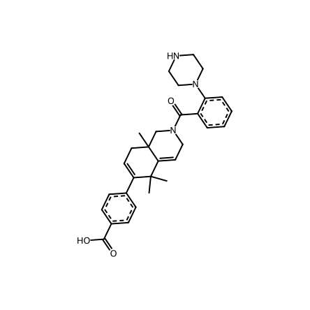 CC12CC=C(c3ccc(C(=O)O)cc3)C(C)(C)C1=CCN(C(=O)c1ccccc1N1CCNCC1)C2